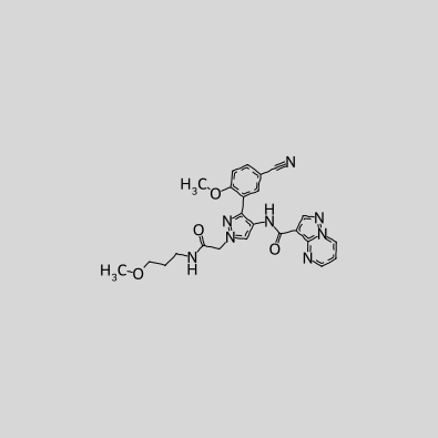 COCCCNC(=O)Cn1cc(NC(=O)c2cnn3cccnc23)c(-c2cc(C#N)ccc2OC)n1